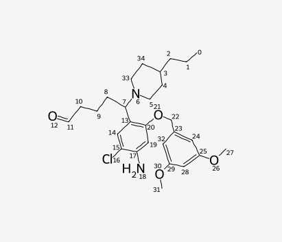 CCCC1CCN(C(CCCC=O)c2cc(Cl)c(N)cc2OCc2cc(OC)cc(OC)c2)CC1